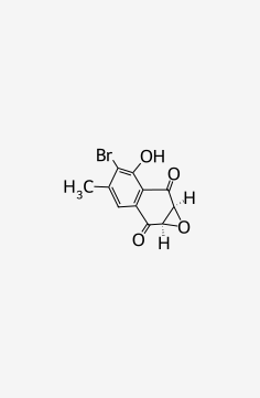 Cc1cc2c(c(O)c1Br)C(=O)[C@H]1O[C@H]1C2=O